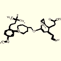 COc1ccc(CCC(C)(C)F)c(N2CCC(CO/C(C)=C/C(=C\C=N)C(CC(=O)O)C3CC3)CC2)c1